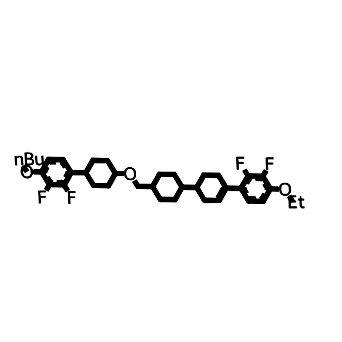 CCCCOc1ccc(C2CCC(OCC3CCC(C4CC=C(c5ccc(OCC)c(F)c5F)CC4)CC3)CC2)c(F)c1F